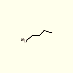 [16Li][CH2]CCC